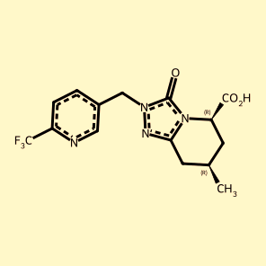 C[C@H]1Cc2nn(Cc3ccc(C(F)(F)F)nc3)c(=O)n2[C@@H](C(=O)O)C1